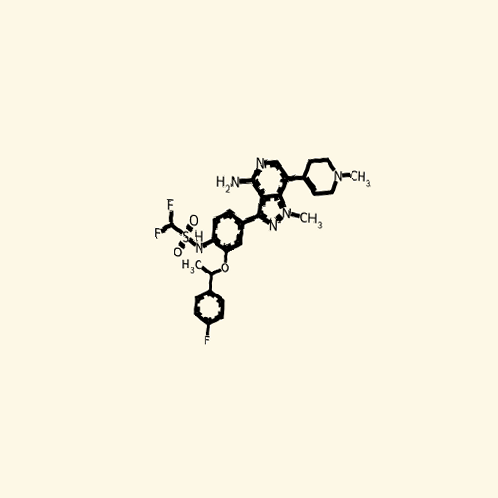 CC(Oc1cc(-c2nn(C)c3c(C4=CCN(C)CC4)cnc(N)c23)ccc1NS(=O)(=O)C(F)F)c1ccc(F)cc1